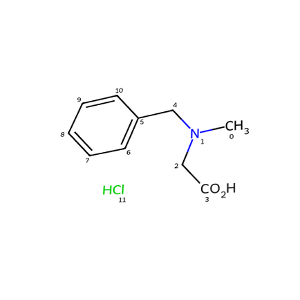 CN(CC(=O)O)Cc1ccccc1.Cl